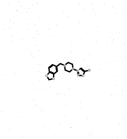 [O-]c1c[n+](N2CCN(Cc3ccc4c(c3)OCO4)CC2)no1